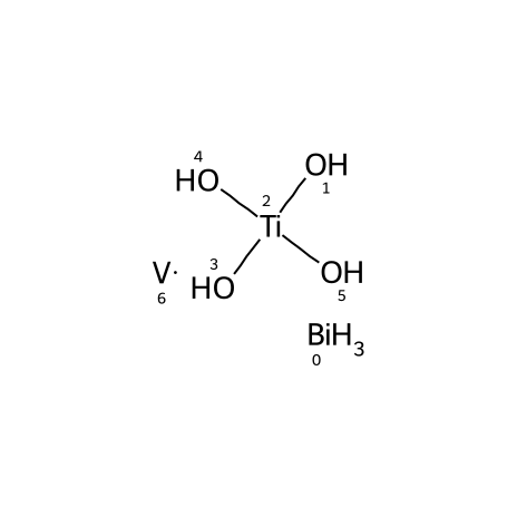 [BiH3].[OH][Ti]([OH])([OH])[OH].[V]